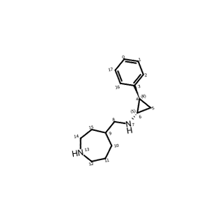 c1ccc([C@H]2C[C@@H]2NCC2CCCNCC2)cc1